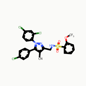 N#Cc1c(CNS(=O)(=O)c2ccccc2OC(F)(F)F)nn(-c2ccc(Cl)cc2Cl)c1-c1ccc(Cl)cc1